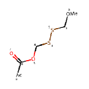 COCSSCOC(=O)C(C)=O